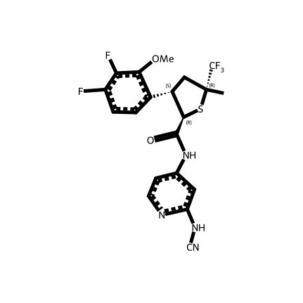 COc1c([C@@H]2C[C@](C)(C(F)(F)F)S[C@H]2C(=O)Nc2ccnc(NC#N)c2)ccc(F)c1F